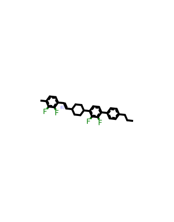 CCCc1ccc(-c2ccc(C3CCC(/C=C/c4ccc(C)c(F)c4F)CC3)c(F)c2F)cc1